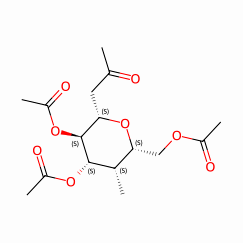 CC(=O)C[C@@H]1O[C@H](COC(C)=O)[C@H](C)[C@H](OC(C)=O)[C@H]1OC(C)=O